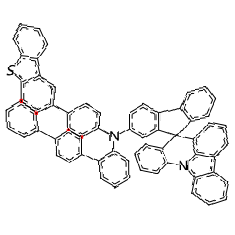 c1ccc(-c2ccc(-c3ccccc3N(c3ccc(-c4ccc5sc6ccccc6c5c4)cc3)c3ccc4c(c3)C3(c5ccccc5-4)c4ccccc4-n4c5ccccc5c5cccc3c54)cc2)cc1